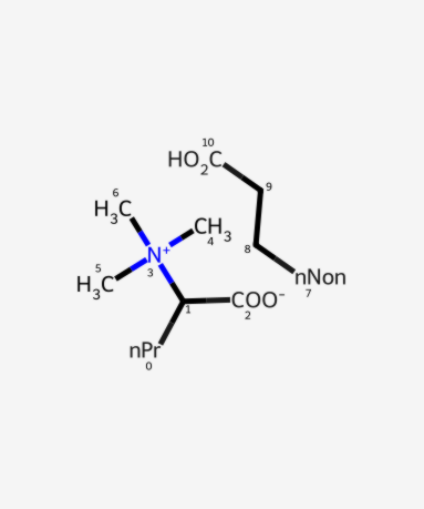 CCCC(C(=O)[O-])[N+](C)(C)C.CCCCCCCCCCCC(=O)O